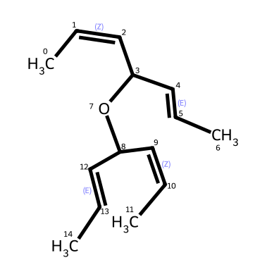 C/C=C\C(/C=C/C)OC(/C=C\C)/C=C/C